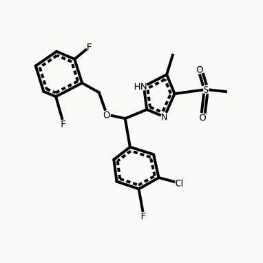 Cc1[nH]c(C(OCc2c(F)cccc2F)c2ccc(F)c(Cl)c2)nc1S(C)(=O)=O